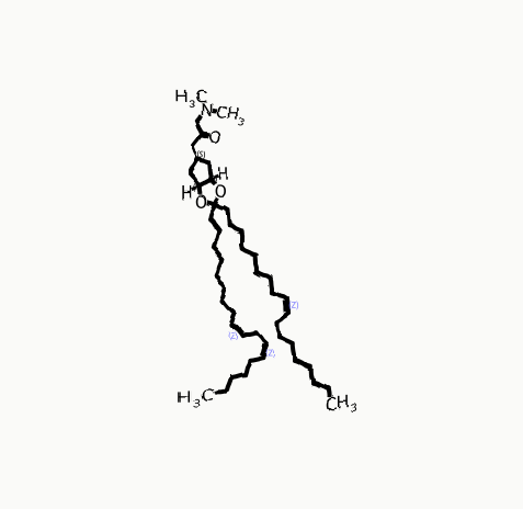 CCCCC/C=C\C/C=C\CCCCCCCCC1(CCCCCCCC/C=C\CCCCCCCC)O[C@H]2C[C@H](CC(=O)CN(C)C)C[C@H]2O1